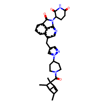 CC1C=C2C1C(C)C2(C)C(=O)N1CCC(n2cc(Cc3cnc4c5c(cccc35)C(=O)N4C3CCC(=O)NC3=O)cn2)CC1